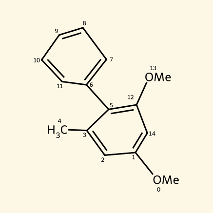 COc1cc(C)c(-c2ccccc2)c(OC)c1